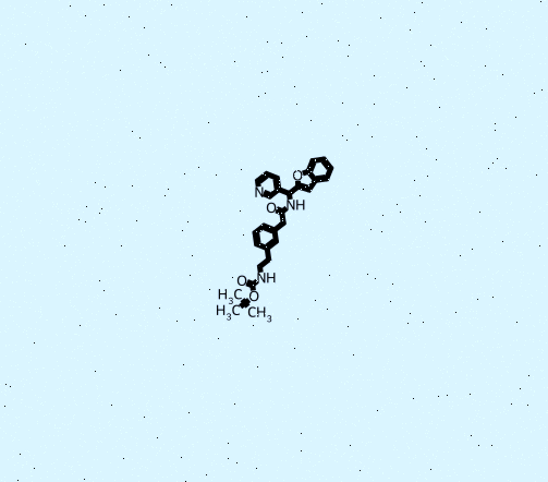 CC(C)(C)OC(=O)NCCc1cccc(CC(=O)NC(c2cccnc2)c2cc3ccccc3o2)c1